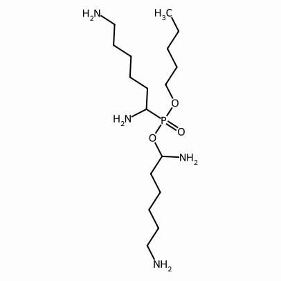 CCCCCOP(=O)(OC(N)CCCCCN)C(N)CCCCCN